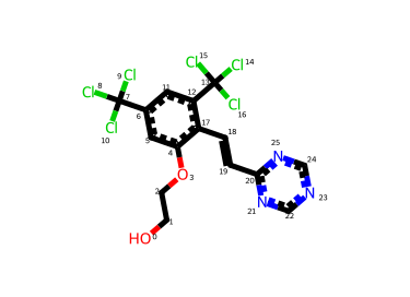 OCCOc1cc(C(Cl)(Cl)Cl)cc(C(Cl)(Cl)Cl)c1/C=C/c1ncncn1